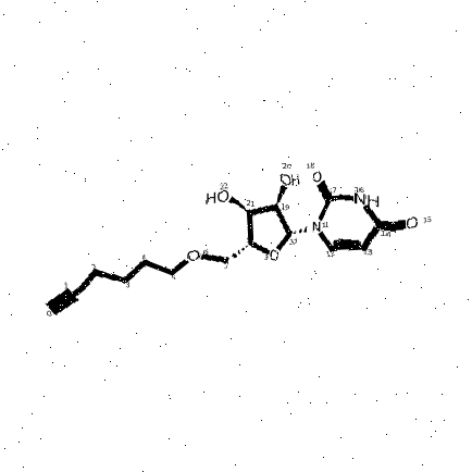 C#CCCCCOC[C@H]1O[C@@H](n2ccc(=O)[nH]c2=O)[C@H](O)[C@@H]1O